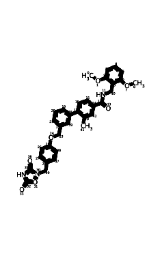 COc1cccc(OC)c1CNC(=O)c1ccc(-c2cccc(COc3ccc(Cn4oc(=O)[nH]c4=O)cc3)c2)c(C)c1